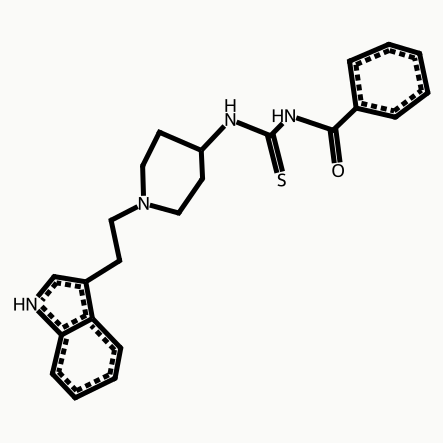 O=C(NC(=S)NC1CCN(CCc2c[nH]c3ccccc23)CC1)c1ccccc1